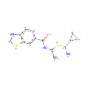 NC(NC(=O)c1ccc2c(c1)SCN2)SC(N)C1CC1